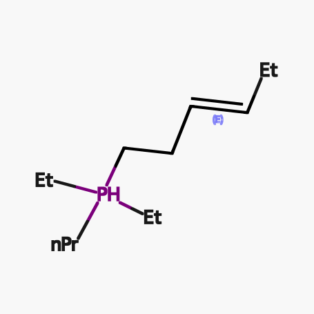 CC/C=C/CC[PH](CC)(CC)CCC